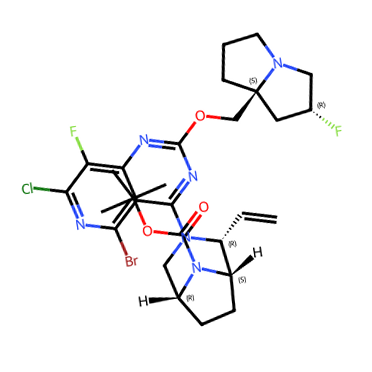 C=C[C@@H]1[C@@H]2CC[C@H](CN1c1nc(OC[C@@]34CCCN3C[C@H](F)C4)nc3c(F)c(Cl)nc(Br)c13)N2C(=O)OC(C)(C)C